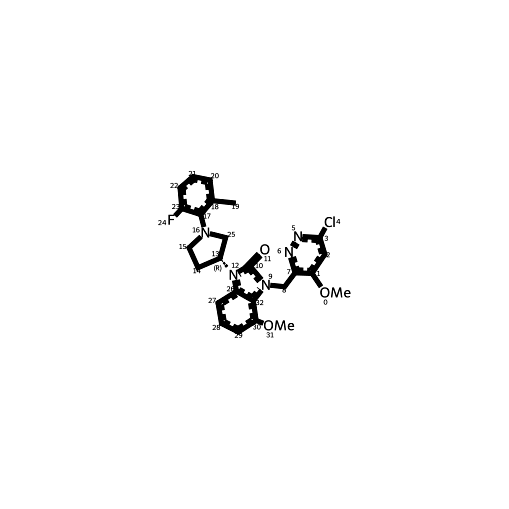 COc1cc(Cl)nnc1Cn1c(=O)n([C@@H]2CCN(c3c(C)cccc3F)C2)c2cccc(OC)c21